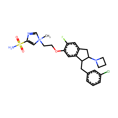 C[N+]1(CCOc2cc3c(cc2F)CC(N2CCC2)C3Cc2cccc(Cl)c2)C=NC(S(N)(=O)=O)=C1